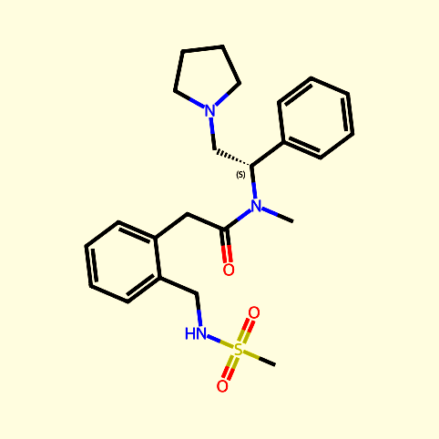 CN(C(=O)Cc1ccccc1CNS(C)(=O)=O)[C@H](CN1CCCC1)c1ccccc1